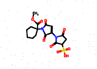 COC(=O)C1(N2C(=O)C=C(N3C(=O)CC(S(=O)(=O)O)C3=O)C2=O)CCCCC1